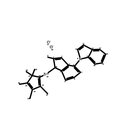 CC1=Cc2c(cccc2-n2ccc3ccccc32)[CH]1[Zr+2][C]1=C(C)C(C)=C(C)C1(C)C.[Cl-].[Cl-]